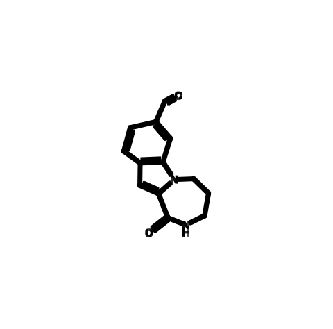 O=Cc1ccc2cc3n(c2c1)CCCNC3=O